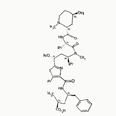 CC(=O)O[C@H](C[C@H](C(C)C)N(C)C(=O)[C@@H](NC(=O)[C@H]1C[C@H](O)CCN1C)C(C)C)c1nc(C(=O)N[C@@H](Cc2ccccc2)C[C@H](C)C(=O)O)c(C(C)C)s1